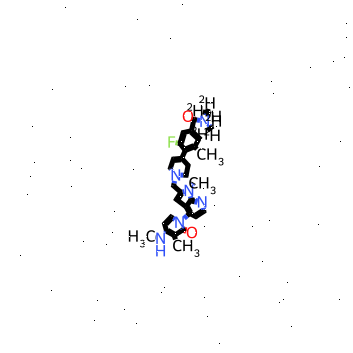 [2H]C([2H])([2H])N(C(=O)c1cc(C)c(C2=CCN(Cc3cc4c(-n5ccc(NC)c(C)c5=O)ccnc4n3C)CC2)c(F)c1)C([2H])([2H])[2H]